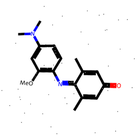 COc1cc(N(C)C)ccc1N=C1C(C)=CC(=O)C=C1C